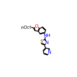 CCCCCCCCc1cc2cc(Nc3nc(-c4cccnc4)cs3)ccc2o1